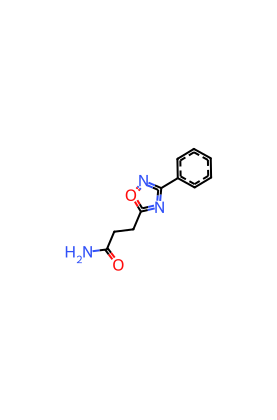 NC(=O)CCc1nc(-c2ccccc2)no1